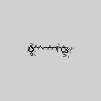 Cc1ccc(C)c(CCCCCCCCCC(=O)NC(CC(=O)O)CN(C)C)c1